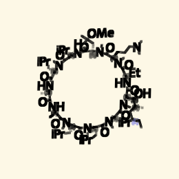 C/C=C/C[C@@H](C)[C@@H](O)[C@H]1C(=O)N[C@@H](CC)C(=O)N(C)[C@H](CCCN(C)C)C(=O)N(C)[C@@H](CC(C)(C)OC)C(=O)N[C@@H](C(C)C)C(=O)N(C)[C@@H](CC(C)C)C(=O)N[C@@H](C)C(=O)N[C@H](C)C(=O)N(C)[C@@H](CC(C)C)C(=O)N(C)[C@@H](CC(C)C)C(=O)N(C)[C@@H](C(C)C)C(=O)N1C